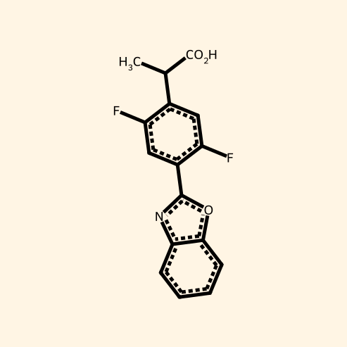 CC(C(=O)O)c1cc(F)c(-c2nc3ccccc3o2)cc1F